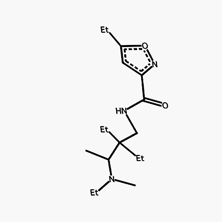 CCc1cc(C(=O)NCC(CC)(CC)C(C)N(C)CC)no1